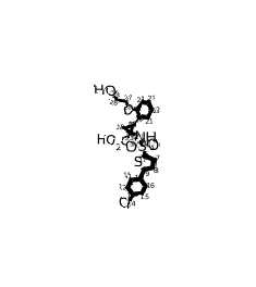 O=C(O)[C@@]1(NS(=O)(=O)c2ccc(-c3ccc(Cl)cc3)s2)C[C@H]1c1ccccc1OCCO